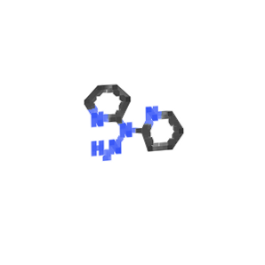 NN(c1ccccn1)c1ccccn1